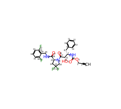 C#CCOC(=O)N[C@@H](Cc1ccccc1)[C@H](O)C(=O)N1CC(F)(F)C[C@H]1C(=O)NCc1c(F)cccc1F